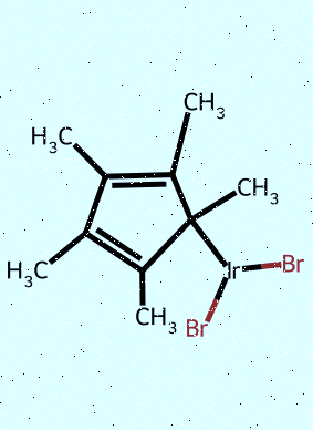 CC1=C(C)[C](C)([Ir]([Br])[Br])C(C)=C1C